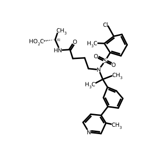 Cc1cnccc1-c1cccc(C(C)(C)N(CCCC(=O)N[C@@H](C)C(=O)O)S(=O)(=O)c2cccc(Cl)c2C)c1